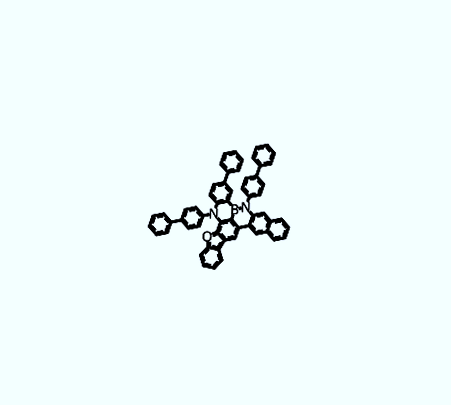 c1ccc(-c2ccc(N3B4c5cc(-c6ccccc6)ccc5N(c5ccc(-c6ccccc6)cc5)c5c4c(cc4c5oc5ccccc54)-c4cc5ccccc5cc43)cc2)cc1